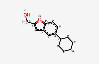 OBc1cc2cc(C3CCCCC3)ccc2o1